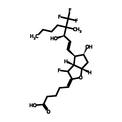 CCCCC(C)([C@H](O)C=C[C@@H]1[C@H]2C(F)C(=CCCCC(=O)O)O[C@H]2C[C@H]1O)C(F)(F)F